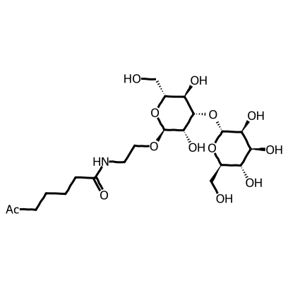 CC(=O)CCCCC(=O)NCCO[C@H]1O[C@H](CO)[C@@H](O)[C@H](O[C@H]2O[C@H](CO)[C@@H](O)[C@H](O)[C@@H]2O)[C@@H]1O